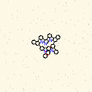 c1ccc(-n2c3ccccc3c3cc(-c4cc5ccccc5c5c6cccc7c8c9c%10cccc%11c%12c%13ccccc%13cc(-c%13ccc%14c(c%13)c%13ccccc%13n%14-c%13ccccc%13)c%12n(c9ncc8n(c45)c76)c%10%11)ccc32)cc1